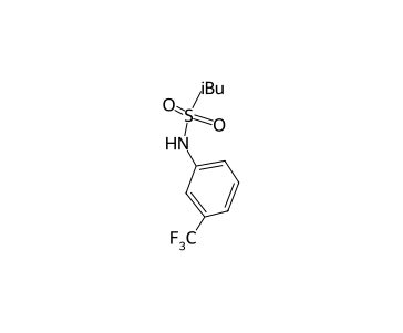 CCC(C)S(=O)(=O)Nc1cccc(C(F)(F)F)c1